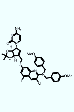 COc1ccc(CN(Cc2ccc(OC)cc2)c2nc3cc(OCC4=C[C@@H](n5ccc(N)nc5=O)[C@@H]5OC(C)(C)O[C@H]45)cc(F)c3cc2Cl)cc1